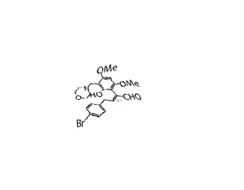 COc1cc(OC)c(/C(C=O)=C\Cc2ccc(Br)cc2)c(O)c1CN1CCOCC1